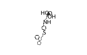 O=P(O)(O)CCCNCc1ccc(SCCCCC2(c3ccccc3)CCCC2)cc1